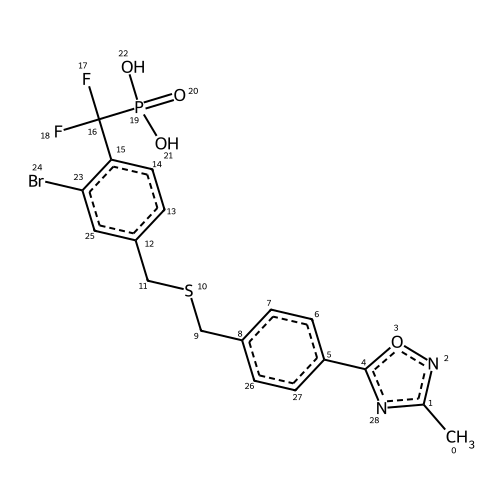 Cc1noc(-c2ccc(CSCc3ccc(C(F)(F)P(=O)(O)O)c(Br)c3)cc2)n1